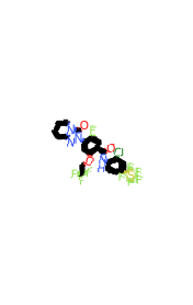 O=C(Nc1ccc(S(F)(F)(F)(F)F)cc1Cl)c1cc(F)c(-n2nc3n(c2=O)CCCC3)cc1OCC(F)(F)F